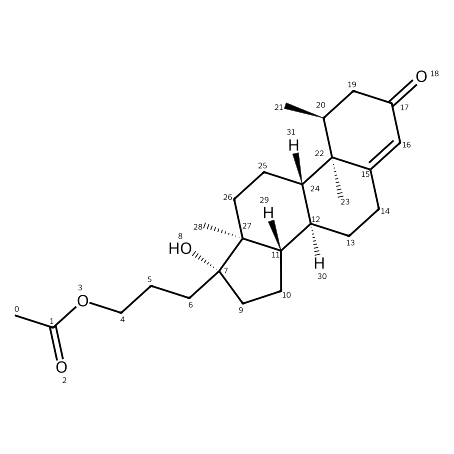 CC(=O)OCCC[C@]1(O)CC[C@H]2[C@@H]3CCC4=CC(=O)C[C@H](C)[C@]4(C)[C@H]3CC[C@@]21C